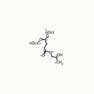 [CH2]C(O)COC(=O)CCC(OCCCCCCCC)OCCCCCCCC